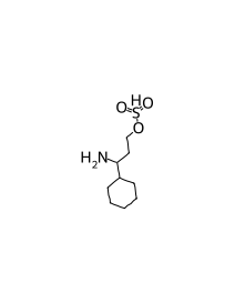 NC(CCO[SH](=O)=O)C1CCCCC1